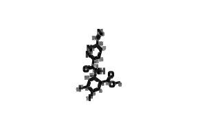 COC(=O)c1cc(F)c(F)cc1NC(=O)c1ccc(C#N)nn1